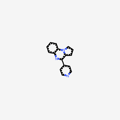 c1ccc2c(c1)nc(-c1ccncc1)c1cccn12